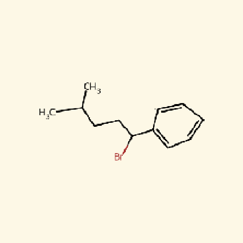 CC(C)CCC(Br)c1[c]cccc1